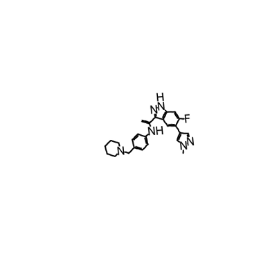 C=C(Nc1ccc(CN2CCCCC2)cc1)c1n[nH]c2cc(F)c(-c3cnn(C)c3)cc12